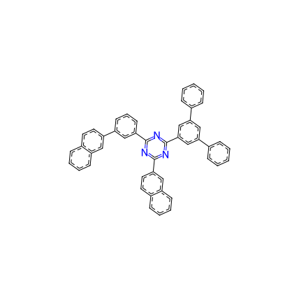 c1ccc(-c2cc(-c3ccccc3)cc(-c3nc(-c4cccc(-c5ccc6ccccc6c5)c4)nc(-c4ccc5ccccc5c4)n3)c2)cc1